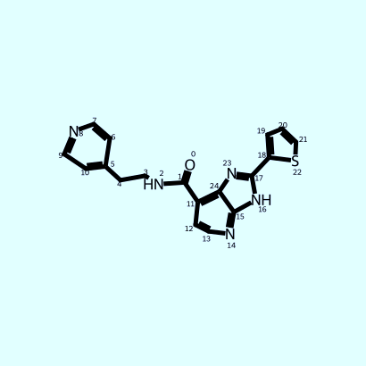 O=C(NCCc1ccncc1)c1ccnc2[nH]c(-c3cccs3)nc12